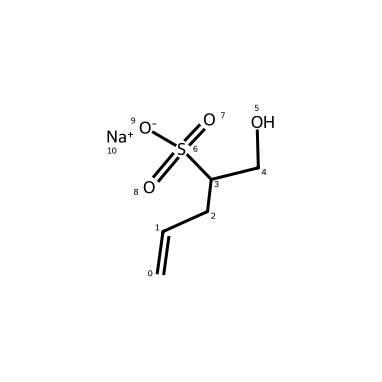 C=CCC(CO)S(=O)(=O)[O-].[Na+]